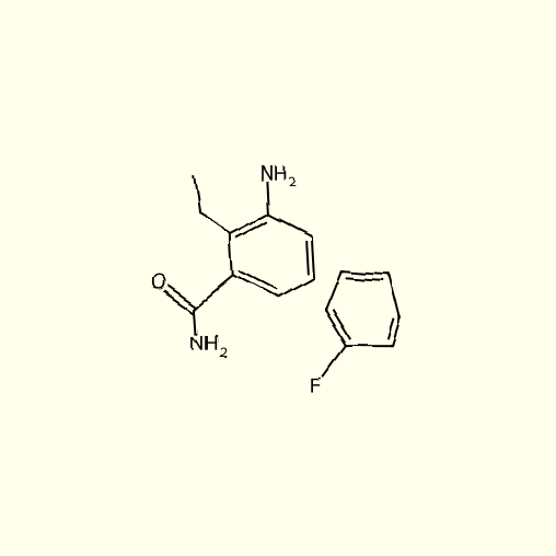 CCc1c(N)cccc1C(N)=O.Fc1ccccc1